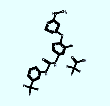 CNc1cc(Oc2ccc(NC(=O)Nc3cccc(C(F)(F)F)c3)cc2Br)ncn1.O=C(O)C(F)(F)F